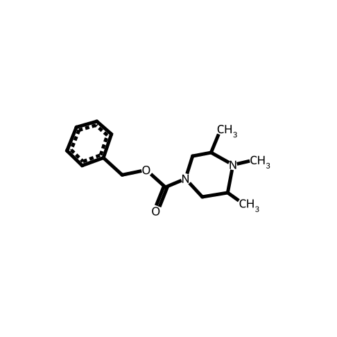 CC1CN(C(=O)OCc2ccccc2)CC(C)N1C